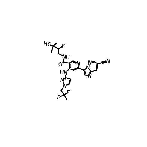 CC(F)(F)Cn1ccc(Nc2cc(-c3cnc4cc(C#N)cnn34)ncc2C(=O)NCC(F)C(C)(C)O)n1